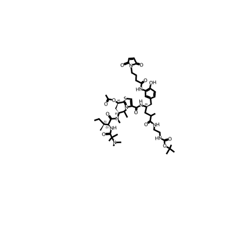 CC[C@H](C)[C@H](NC(=O)C(C)(C)N(C)C)C(=O)N(C)[C@H](C[C@@H](OC(C)=O)c1nc(C(=O)N[C@@H](Cc2ccc(O)c(NC(=O)CCCN3C(=O)C=CC3=O)c2)CC(C)C(=O)NCCNC(=O)OC(C)(C)C)cs1)C(C)C